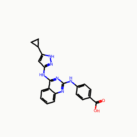 O=C(O)c1ccc(Nc2nc(Nc3cc(C4CC4)[nH]n3)c3ccccc3n2)cc1